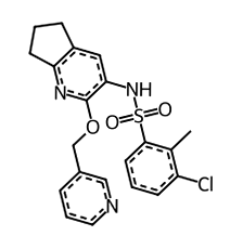 Cc1c(Cl)cccc1S(=O)(=O)Nc1cc2c(nc1OCc1cccnc1)CCC2